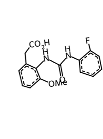 COc1cccc(CC(=O)O)c1NC(=O)Nc1ccccc1F